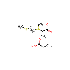 CC(C(=O)[O-])[S+](C)C.CCC(=O)O.CSC